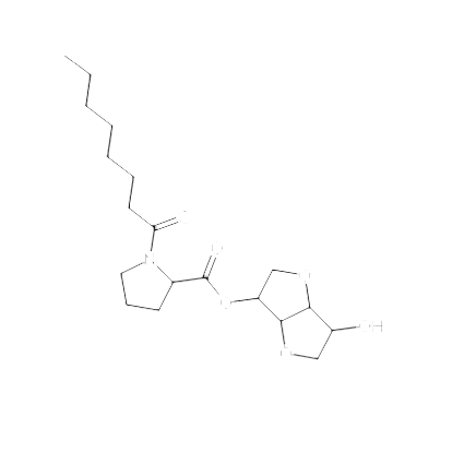 CCCCCCCC(=O)N1CCCC1C(=O)OC1COC2C(O)COC12